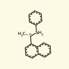 C[C@H]([SiH2]c1ccccc1)c1cccc2ccccc12